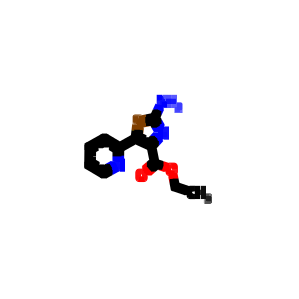 CCOC(=O)c1nc(N)sc1-c1ccccn1